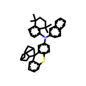 CC1(C)CCC(C)(C)c2c(N(c3ccc4c(c3)C3(c5ccccc5S4)C4CC5CC(C4)C3C5)c3ccc4ccccc4c3)cccc21